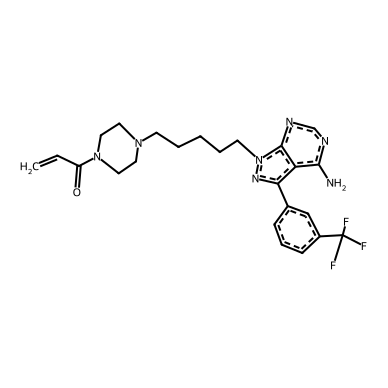 C=CC(=O)N1CCN(CCCCCn2nc(-c3cccc(C(F)(F)F)c3)c3c(N)ncnc32)CC1